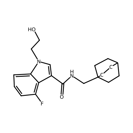 O=C(NCC12CCC(CC1)CC2)c1cn(CCO)c2cccc(F)c12